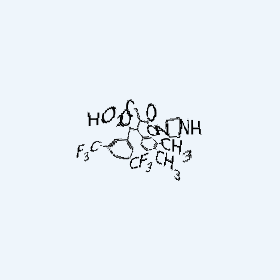 Cc1ccc(C(C(=O)c2cc(C(F)(F)F)cc(C(F)(F)F)c2)/C(=C\C(=O)O)C(=O)ON2CCNCC2)cc1C